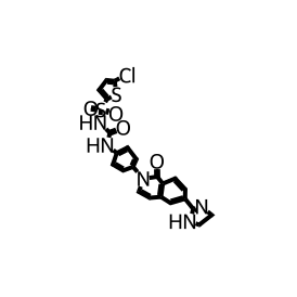 O=C(Nc1ccc(-n2ccc3cc(C4=NCCN4)ccc3c2=O)cc1)NS(=O)(=O)c1ccc(Cl)s1